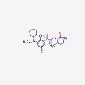 CCN(c1cc(Cl)cc(C(=O)NCc2c(C)cc[nH]c2=O)c1C)C1CCCCC1